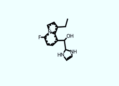 CCc1ccn2c(F)ccc(C(O)C3NC=CN3)c12